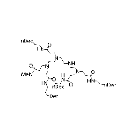 CCCCCCCCCCCCNC(=O)CCN(CCNCCN(CCC(=O)NCCCCCCCCCCCC)CCN(CCC(=O)NC)CCC(=O)NCCCCCCCCCCCC)CCC(=O)NCCCCCCCCCCCC